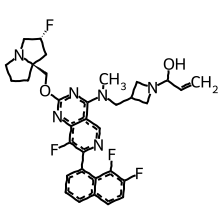 C=CC(O)N1CC(CN(C)c2nc(OC[C@@]34CCCN3C[C@H](F)C4)nc3c(F)c(-c4cccc5ccc(F)c(F)c45)ncc23)C1